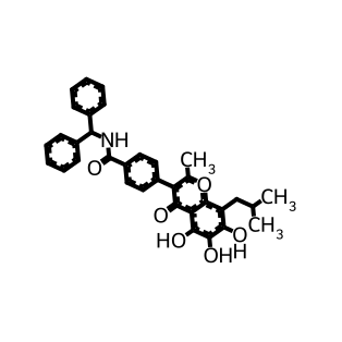 Cc1oc2c(CC(C)C)c(O)c(O)c(O)c2c(=O)c1-c1ccc(C(=O)NC(c2ccccc2)c2ccccc2)cc1